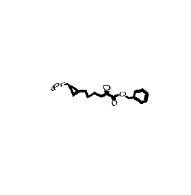 CC(C)C1CC1CCCCC(=O)C(=O)OCc1ccccc1